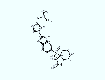 CC(C)Cc1ncc(-c2nc3ccc(S(=O)(=O)C4(C(=O)NO)CCOCC4)cc3s2)s1